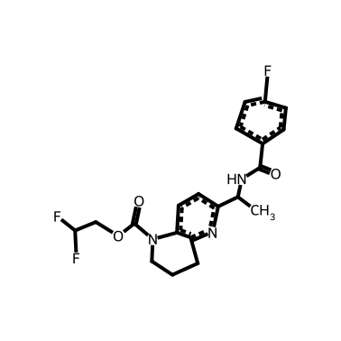 CC(NC(=O)c1ccc(F)cc1)c1ccc2c(n1)CCCN2C(=O)OCC(F)F